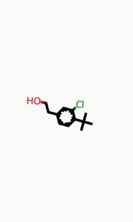 CC(C)(C)c1ccc(CCO)cc1Cl